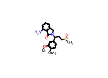 CCOc1cc(C(CC[S+](C)[O-])N2Cc3cccc(N)c3C2=O)ccc1OC